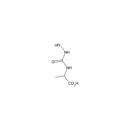 CCCNC(=O)NC(C)C(=O)O